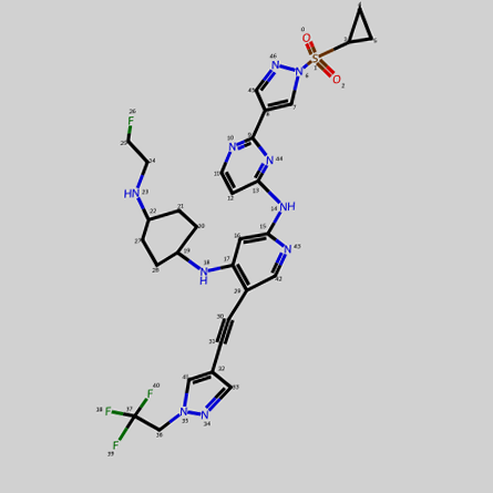 O=S(=O)(C1CC1)n1cc(-c2nccc(Nc3cc(NC4CCC(NCCF)CC4)c(C#Cc4cnn(CC(F)(F)F)c4)cn3)n2)cn1